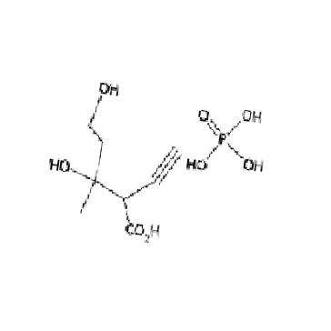 C#CC(C(=O)O)C(C)(O)CCO.O=P(O)(O)O